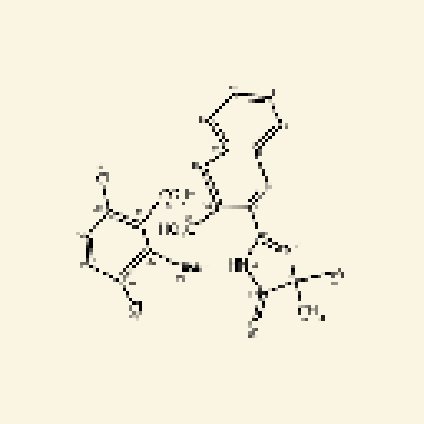 CC(C)C1(C)N=C(c2nc3ccccc3cc2C(=O)O)NC1=O.COc1c(Cl)ccc(Cl)c1C(=O)O